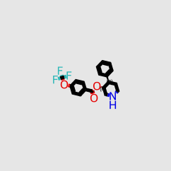 O=C(O[C@H]1CNCC[C@@H]1c1ccccc1)c1ccc(OC(F)(F)F)cc1